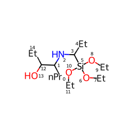 CCCC(NC(CC)[Si](OCC)(OCC)OCC)C(O)CC